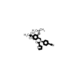 C[SiH](C)Oc1cc(C(C)(C)C)ccc1CN(C(=O)c1cccs1)c1ccc(C#N)cc1